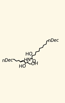 CCCCCCCCCCCCCC=CC(O)C(CO)NC(=O)C(O)CCCCCCCCCCCCCCCCCC